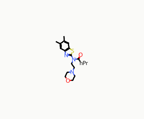 CCCC(=O)N(CCN1CCOCC1)c1nc2cc(C)c(C)cc2s1